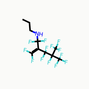 CCCNC(F)(F)C(=C(F)F)C(F)(F)C(F)(C(F)(F)F)C(F)(F)F